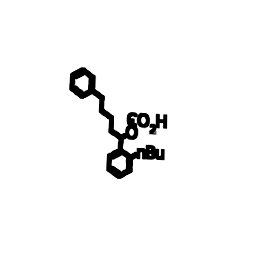 CCCCc1ccccc1C(CCCCc1ccccc1)OC(=O)O